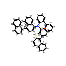 c1ccc(-c2ccccc2N(c2ccc(-c3cccc4cccc(-c5ccccc5)c34)cc2)c2cccc3c2sc2ccc4ccccc4c23)cc1